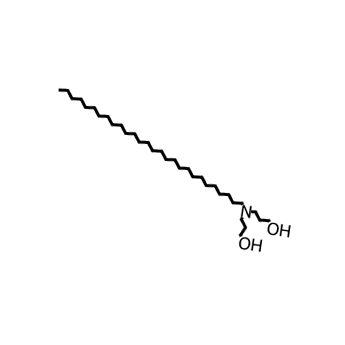 CCCCCCCCCCCCCCCCCCCCCCCCCCCCN(CCCO)CCCO